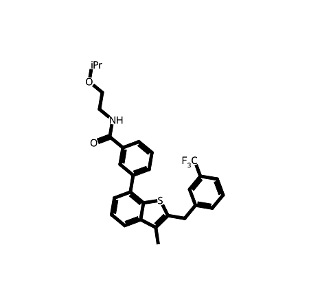 Cc1c(Cc2cccc(C(F)(F)F)c2)sc2c(-c3cccc(C(=O)NCCOC(C)C)c3)cccc12